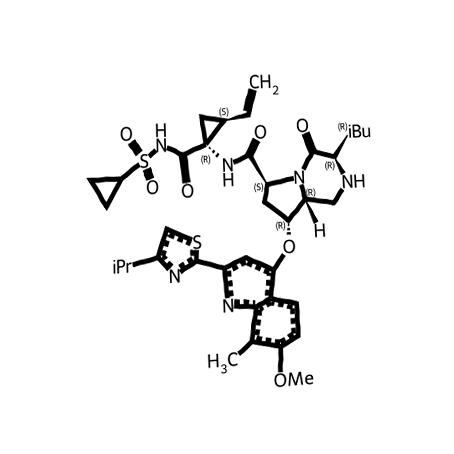 C=C[C@@H]1C[C@]1(NC(=O)[C@@H]1C[C@@H](Oc2cc(-c3nc(C(C)C)cs3)nc3c(C)c(OC)ccc23)[C@H]2CN[C@H]([C@H](C)CC)C(=O)N21)C(=O)NS(=O)(=O)C1CC1